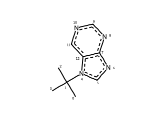 CC(C)(C)n1cnc2ncncc21